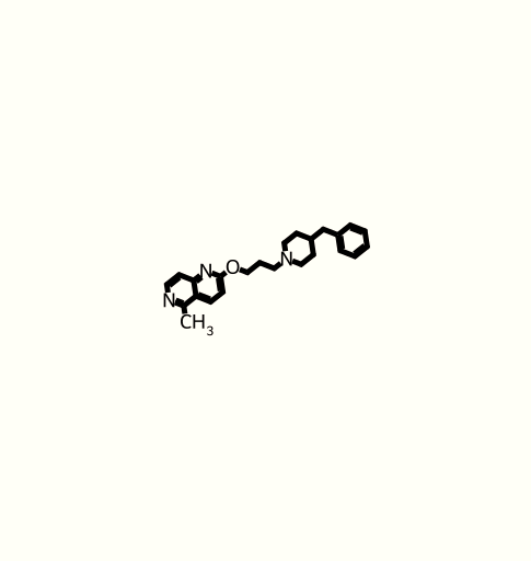 Cc1nccc2nc(OCCCN3CCC(Cc4ccccc4)CC3)ccc12